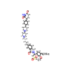 CCOc1cc([C@@H](CS(C)(=O)=O)N2Cc3ccc(CCCCCN4CCC(N5CCC(c6ccc(C7CCC(=O)NC7=O)cc6)CC5)CC4)cc3C2=O)ccc1OC